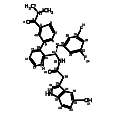 CN(C)C(=O)c1cccc(-c2cccnc2[C@H](Cc2cc(F)cc(F)c2)NC(=O)Cc2c[nH]c3ccc(O)cc23)c1